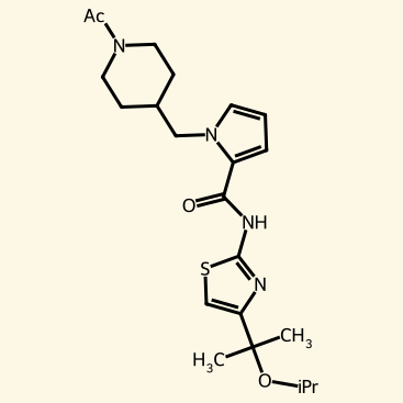 CC(=O)N1CCC(Cn2cccc2C(=O)Nc2nc(C(C)(C)OC(C)C)cs2)CC1